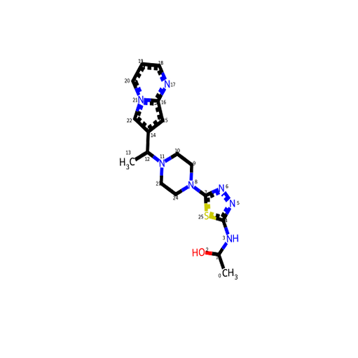 CC(O)Nc1nnc(N2CCN(C(C)c3cc4ncccn4c3)CC2)s1